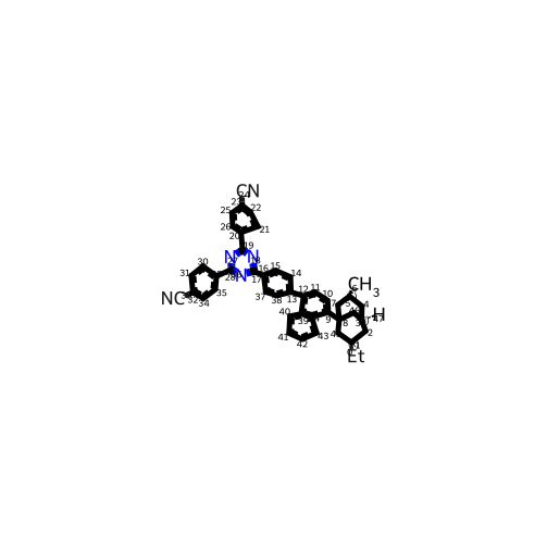 CC[C@@H]1C[C@@H]2C[C@H](C)CC(c3ccc(-c4ccc(-c5nc(-c6ccc(C#N)cc6)nc(-c6ccc(C#N)cc6)n5)cc4)c4ccccc34)(C1)C2